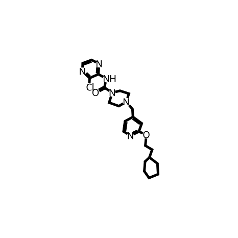 O=C(Nc1nccnc1Cl)N1CCN(Cc2ccnc(OCCC3CCCCC3)c2)CC1